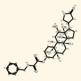 C[C@]12CC[C@H](OC(=O)C(=O)OCc3ccccc3)C[C@H]1CC[C@@H]1[C@@H]2C[C@@H](O)[C@]2(C)[C@@H](C3COC(=O)C3)CC[C@]12O